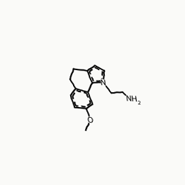 COc1ccc2c(c1)-c1c(ccn1CCN)CC2